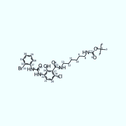 CC(C)(C)OC(=O)NCCCCCCNC(=O)c1c(Cl)ccc(NC(=O)Nc2ccccc2Br)c1O